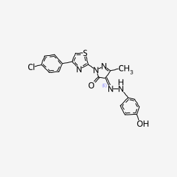 CC1=NN(c2nc(-c3ccc(Cl)cc3)cs2)C(=O)/C1=N/Nc1ccc(O)cc1